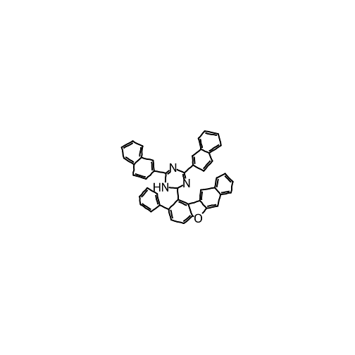 c1ccc(-c2ccc3oc4cc5ccccc5cc4c3c2C2N=C(c3ccc4ccccc4c3)N=C(c3ccc4ccccc4c3)N2)cc1